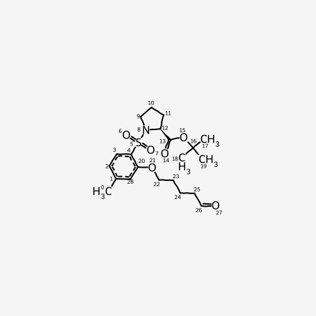 Cc1ccc(S(=O)(=O)N2CCC[C@H]2C(=O)OC(C)(C)C)c(OCCCCC=O)c1